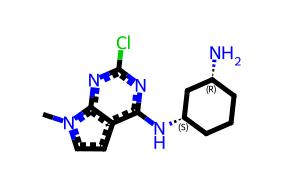 Cn1ccc2c(N[C@H]3CCC[C@@H](N)C3)nc(Cl)nc21